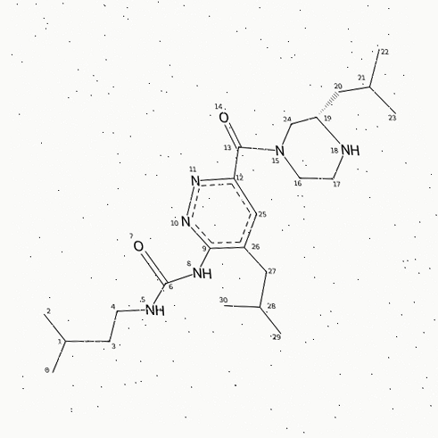 CC(C)CCNC(=O)Nc1nnc(C(=O)N2CCN[C@@H](CC(C)C)C2)cc1CC(C)C